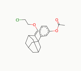 CC(=O)Oc1cccc(C23CC4CC(CC(C4)C2=COCCCl)C3)c1